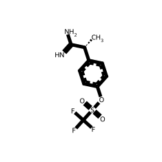 C[C@@H](C(=N)N)c1ccc(OS(=O)(=O)C(F)(F)F)cc1